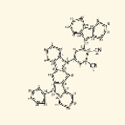 N#Cc1cc(-n2c3ccccc3c3cc4c(cc32)c2ccccc2n4-c2ccccc2)cc(-n2c3ccccc3c3ccccc32)c1C#N